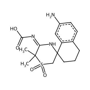 CC1(C)C(=NC(=O)O)NC2(CCCc3ccc(N)cc32)CS1(=O)=O